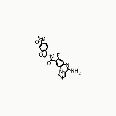 CN(C(=O)c1cc2c(cc1F)nc(N)c1cncn12)[C@@H]1COc2cc(S(C)(=O)=O)ccc21